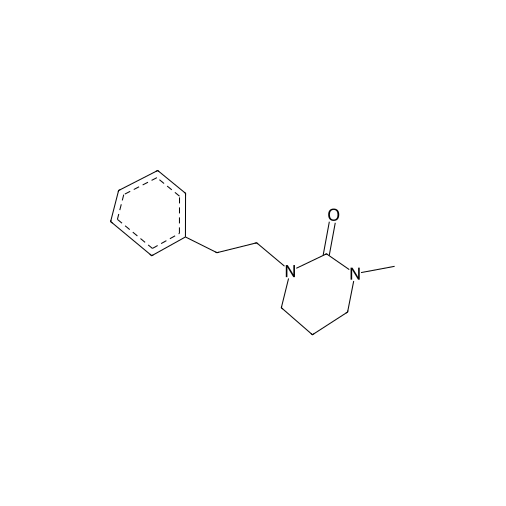 CN1CCCN(CCc2ccccc2)C1=O